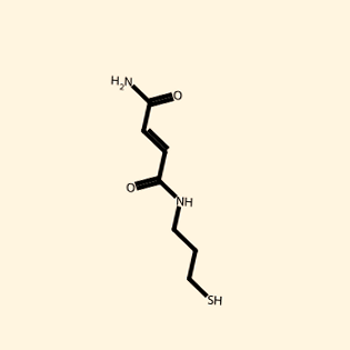 NC(=O)C=CC(=O)NCCCS